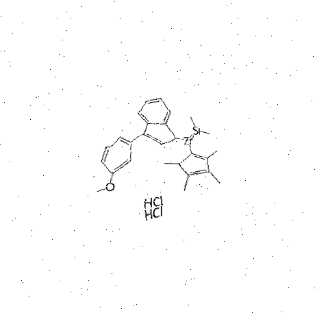 COc1cccc(C2=C[CH]([Zr]([C]3=C(C)C(C)=C(C)C3C)=[Si](C)C)c3ccccc32)c1.Cl.Cl